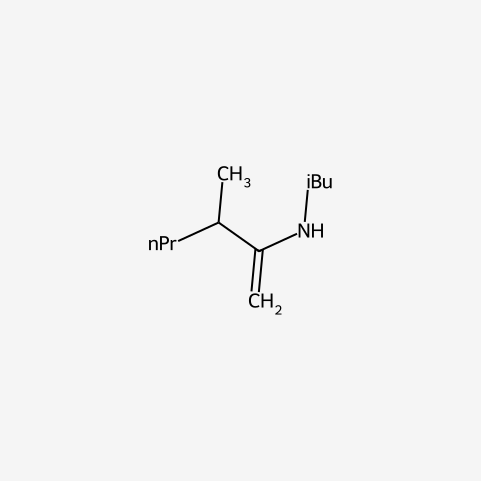 C=C(NC(C)CC)C(C)CCC